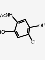 CC(=O)Nc1cc(O)c(Cl)cc1O